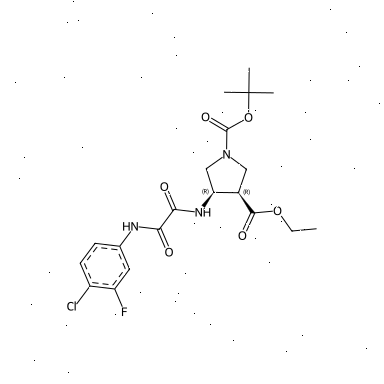 CCOC(=O)[C@@H]1CN(C(=O)OC(C)(C)C)C[C@@H]1NC(=O)C(=O)Nc1ccc(Cl)c(F)c1